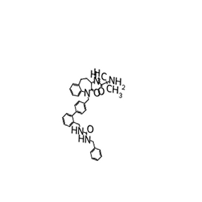 CC(C)(N)C(=O)N[C@@H]1CCc2ccccc2N(Cc2ccc(-c3ccccc3CNC(=O)NCc3ccccc3)cc2)C1=O